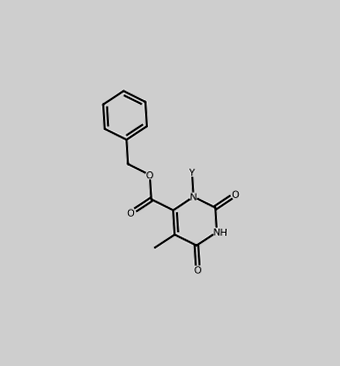 Cc1c(C(=O)OCc2ccccc2)[n]([Y])c(=O)[nH]c1=O